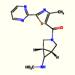 Cc1nc(-c2ncccn2)sc1C(=O)N1C[C@@H]2C(NC(=O)O)[C@@H]2C1